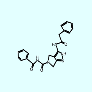 O=C(Cc1ccccc1)Nc1[nH]nc2c1CN(C(=O)NC(=O)c1ccccc1)C2